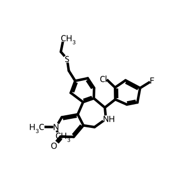 CCSCc1ccc2c(c1)C(=C/N(C)C)/C(=C\C=O)CNC2c1ccc(F)cc1Cl